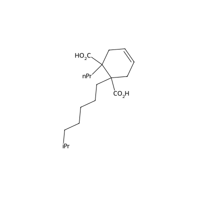 CCCC1(C(=O)O)CC=CCC1(CCCCCC(C)C)C(=O)O